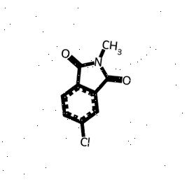 CN1C(=O)c2ccc(Cl)cc2C1=O